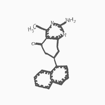 Cc1nc(N)nc2c1C(=O)CC(c1cccc3ccccc13)C2